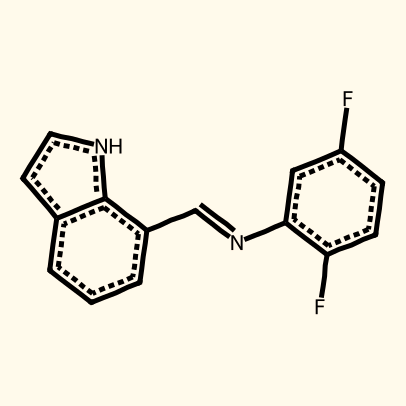 Fc1ccc(F)c(/N=C/c2cccc3cc[nH]c23)c1